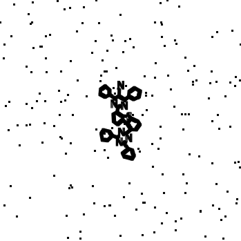 N#Cc1c(-c2ccccc2)nc(-c2cccc3c2sc2cccc(-c4nc(-c5ccccc5)nc(-c5ccccc5)n4)c23)nc1-c1ccccc1